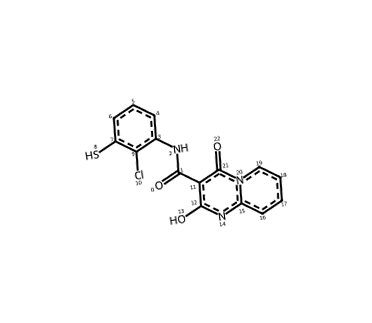 O=C(Nc1cccc(S)c1Cl)c1c(O)nc2ccccn2c1=O